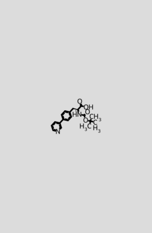 CC(C)(C)OC(=O)N[C@@H](Cc1ccc(-c2cccnc2)cc1)C(=O)O